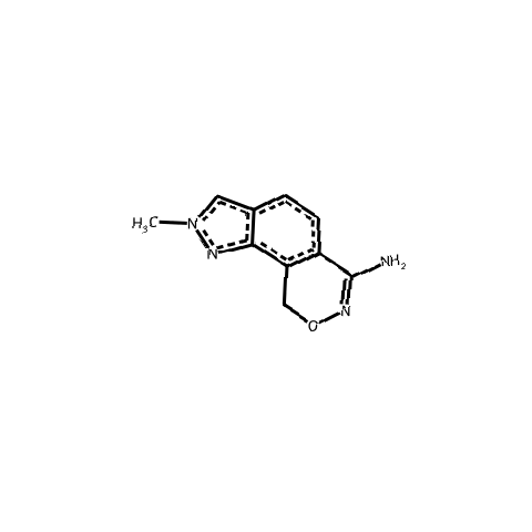 Cn1cc2ccc3c(c2n1)CON=C3N